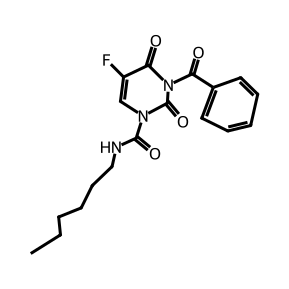 CCCCCCNC(=O)n1cc(F)c(=O)n(C(=O)c2ccccc2)c1=O